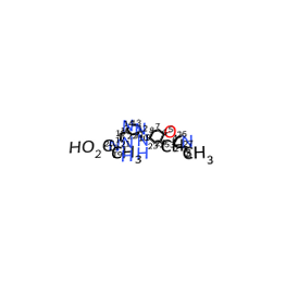 Cc1ccc(Oc2ccc(Nc3ncnc4cc(N(C)C(=O)O)[nH]c34)cc2C)cn1